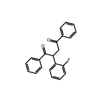 O=C(CC(C(=O)c1ccccc1)c1ccccc1F)c1ccccc1